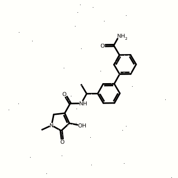 CC(NC(=O)C1=C(O)C(=O)N(C)C1)c1cccc(-c2cccc(C(N)=O)c2)c1